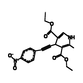 CCOC(=O)C1=CNC(C)=C(C(=O)OCC)C1C#Cc1ccc([N+](=O)[O-])cc1